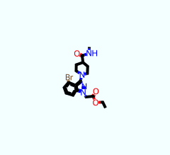 CCOC(=O)Cn1nc(N2CCC(C(=O)NC)CC2)c2c(Br)cccc21